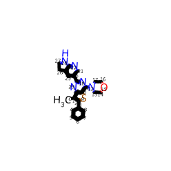 Cc1c(-c2ccccc2)sc2c(N3CCOCC3)nc(-c3cnc4c(c3)CCN4)nc12